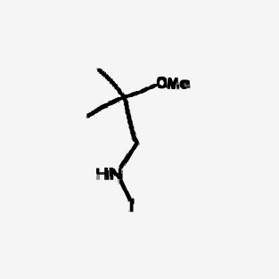 COC(C)(C)CNI